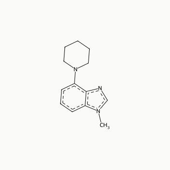 Cn1cnc2c(N3CCCCC3)cccc21